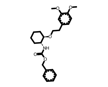 COc1ccc(CCO[C@@H]2CCCC[C@H]2NC(=O)OCc2ccccc2)cc1OC